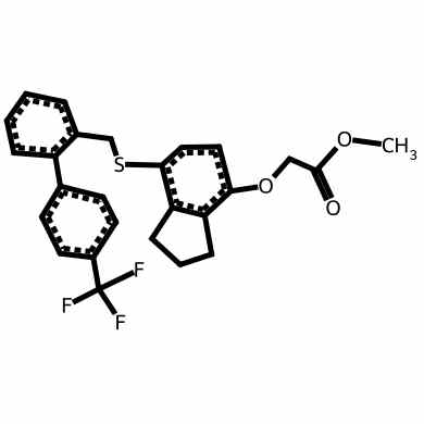 COC(=O)COc1ccc(SCc2ccccc2-c2ccc(C(F)(F)F)cc2)c2c1CCC2